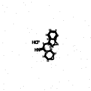 Cl.N=C(Cc1noc2ccccc12)N1CCOCC1